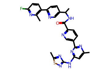 Cc1cc(Nc2nsc(C)n2)nc(-c2ccc(C(=O)NC(C)c3ccc(-c4ccc(F)nc4C)nc3)nc2)n1